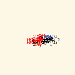 CC1O[C@@H](OC2C(O)[C@H](O[C@@H]3OC(C)[C@H](O)C(O)C3O)C(CO)O[C@H]2O[C@H]2CC[C@@]3(C)C(=CCC4C5CC6C[C@]7(CC[C@@H](C)CN7)[C@@H](C)C6[C@@]5(C)CCC43)C2)C(O)C(O)[C@H]1O